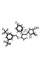 C[C@]1([C@@H]2CC[C@H](OCc3cc(C(F)(F)F)cc(C(F)(F)F)c3)[C@H]2c2ccc(F)cc2)CC(O)C(=O)N1